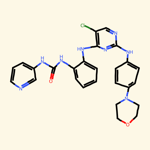 O=C(Nc1cccnc1)Nc1ccccc1Nc1nc(Nc2ccc(N3CCOCC3)cc2)ncc1Cl